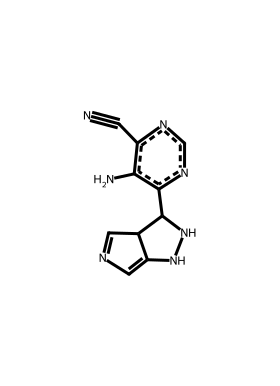 N#Cc1ncnc(C2NNC3=CN=CC32)c1N